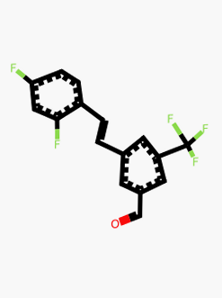 O=Cc1cc(/C=C/c2ccc(F)cc2F)cc(C(F)(F)F)c1